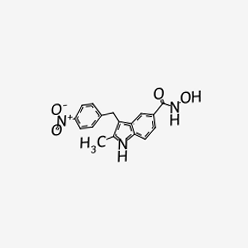 Cc1[nH]c2ccc(C(=O)NO)cc2c1Cc1ccc([N+](=O)[O-])cc1